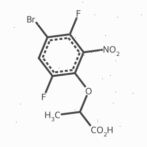 CC(Oc1c(F)cc(Br)c(F)c1[N+](=O)[O-])C(=O)O